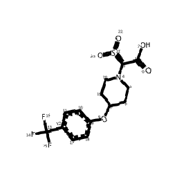 O=C(O)C(N1CCC(Oc2ccc(C(F)(F)F)cc2)CC1)=S(=O)=O